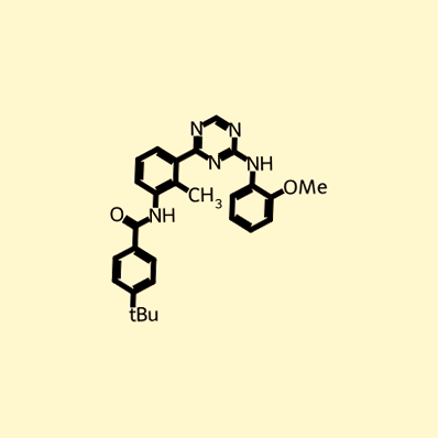 COc1ccccc1Nc1ncnc(-c2cccc(NC(=O)c3ccc(C(C)(C)C)cc3)c2C)n1